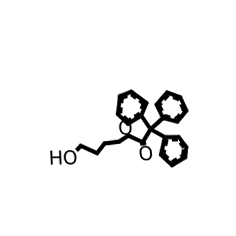 O=C(CCCCO)C(=O)C(c1ccccc1)(c1ccccc1)c1ccccc1